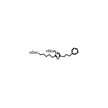 CCCCCCCCCCCCCCCc1nc(CCCc2ccccc2)cn1CCCCCCCCC